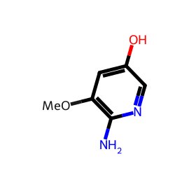 COc1cc(O)cnc1N